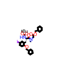 CN(CC(=O)OCc1ccccc1)C(=O)[C@H](Cc1cc(I)ccc1OCc1ccccc1)NC(=O)OC(C)(C)C